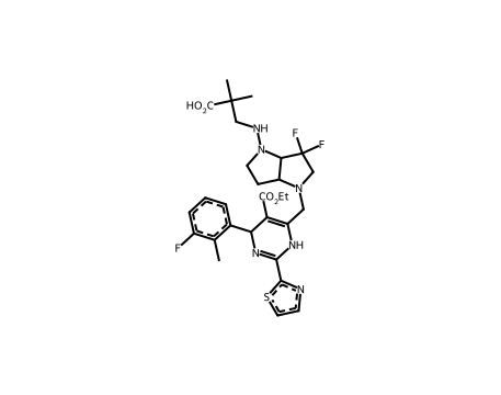 CCOC(=O)C1=C(CN2CC(F)(F)C3C2CCN3NCC(C)(C)C(=O)O)NC(c2nccs2)=NC1c1cccc(F)c1C